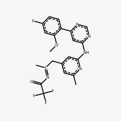 COc1cc(F)ccc1-c1cc(Nc2cc(CS(C)=NC(=O)C(F)(F)F)cc(C)n2)ncn1